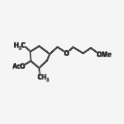 COCCCOCC1CC(C)C(OC(C)=O)C(C)C1